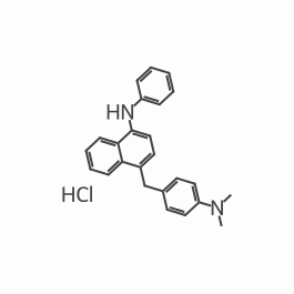 CN(C)c1ccc(Cc2ccc(Nc3ccccc3)c3ccccc23)cc1.Cl